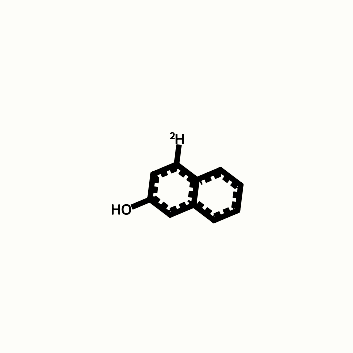 [2H]c1cc(O)cc2ccccc12